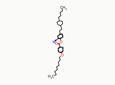 CCCCCCCCCOc1ccc(C(=O)Oc2ccc(CCC3CCC(CCCCC)CC3)cc2C#N)cc1